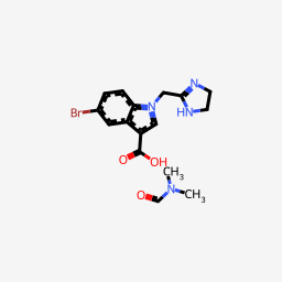 CN(C)C=O.O=C(O)c1cn(CC2=NCCN2)c2ccc(Br)cc12